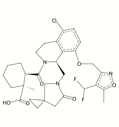 Cc1onc(COc2ccc(Cl)c3c2[C@@H](CN2CC4(CC4)CC2=O)N(C(=O)[C@@H]2CCCC[C@]2(C)C(=O)O)CC3)c1C(F)F